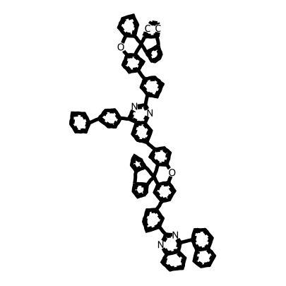 c1ccc(-c2ccc(-c3nc(-c4cccc(-c5ccc6c(c5)C5(c7ccccc7O6)c6ccccc6-c6ccccc65)c4)nc4cc(-c5ccc6c(c5)C5(c7cc(-c8cccc(-c9nc(-c%10cccc%11ccccc%10%11)c%10ccccc%10n9)c8)ccc7O6)c6ccccc6-c6ccccc65)ccc34)cc2)cc1